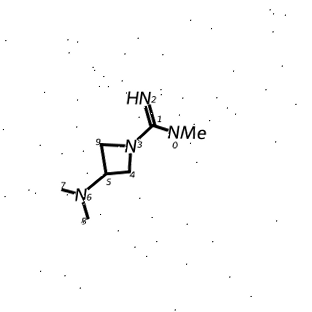 CNC(=N)N1CC(N(C)C)C1